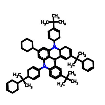 CC(C)(C)C1=CCC(N2c3cc(C4CCCCC4)cc4c3B(C3=CC(C(C)(C)C5=CC=CCC5)=CCC32)c2cc(C(C)(C)C)ccc2N4C2=CCC(C(C)(C)C3CC=CCC3)C=C2)C=C1